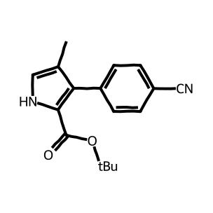 Cc1c[nH]c(C(=O)OC(C)(C)C)c1-c1ccc(C#N)cc1